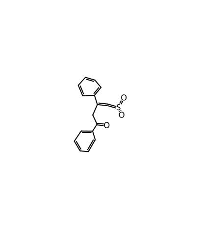 O=C(CC(=C=S(=O)=O)c1ccccc1)c1ccccc1